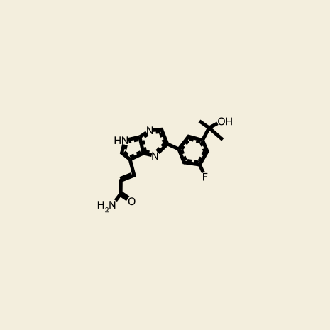 CC(C)(O)c1cc(F)cc(-c2cnc3[nH]cc(C=CC(N)=O)c3n2)c1